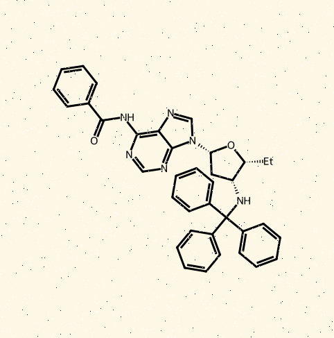 CC[C@H]1O[C@@H](n2cnc3c(NC(=O)c4ccccc4)ncnc32)C[C@H]1NC(c1ccccc1)(c1ccccc1)c1ccccc1